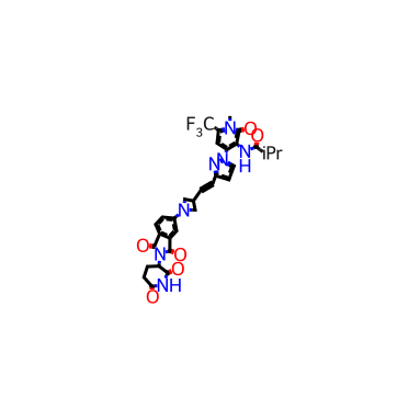 CC(C)C(=O)Nc1c(-n2ccc(C#CC3CN(c4ccc5c(c4)C(=O)N(C4CCC(=O)NC4=O)C5=O)C3)n2)cc(C(F)(F)F)n(C)c1=O